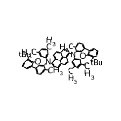 Cc1cc(C)cc(N(c2ccc3ccc4c(N(c5cc(C)cc(C)c5)c5c(C)ccc6c5oc5c(C(C)(C)C)cccc56)ccc5ccc2c3c54)c2c(C)ccc3c2oc2c(C(C)(C)C)cccc23)c1